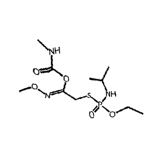 CCOP(=O)(NC(C)C)SCC(=NOC)OC(=O)NC